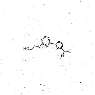 NC(=O)c1ccc(-c2ccnc(NCCO)n2)s1